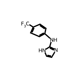 FC(F)(F)c1ccc(Nc2ncc[nH]2)cc1